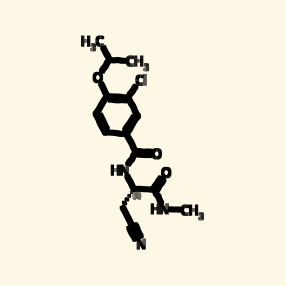 CNC(=O)[C@H](CC#N)NC(=O)c1ccc(OC(C)C)c(Cl)c1